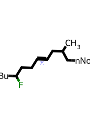 CCCCCCCCCCC(C)C/C=C/CCC(F)CCCC